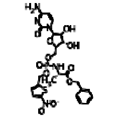 C[C@H](NP(=O)(OCc1ccc([N+](=O)[O-])s1)OC[C@H]1O[C@@H](n2ccc(N)nc2=O)[C@@H](O)[C@@H]1O)C(=O)OCc1ccccc1